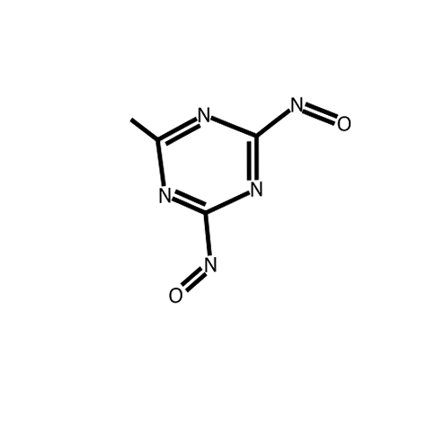 Cc1nc(N=O)nc(N=O)n1